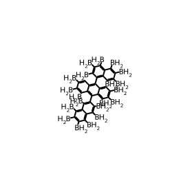 Bc1cc2c(-c3c4cc(B)c(B)c(B)c4c(-c4c(B)c(B)c5c(B)c(B)c(B)c(B)c5c4B)c4c(B)c(B)c(B)c(B)c34)c(B)c(B)c(B)c2c(B)c1B